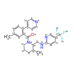 Cc1ccc(-c2ccncc2)c(C(=O)N2CCCC(C)C2CNc2ccc(C(F)(F)F)cn2)c1